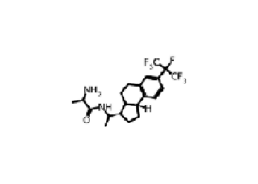 CC(N)C(=O)NC(C)[C@@H]1CC[C@H]2c3ccc(C(F)(C(F)(F)F)C(F)(F)F)cc3CCC12